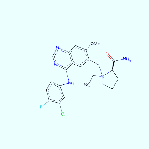 COc1cc2ncnc(Nc3ccc(F)c(Cl)c3)c2cc1C[N+]1(CC#N)CCC[C@@H]1C(N)=O